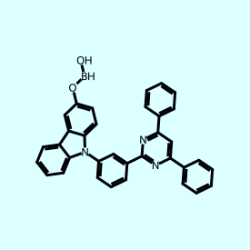 OBOc1ccc2c(c1)c1ccccc1n2-c1cccc(-c2nc(-c3ccccc3)cc(-c3ccccc3)n2)c1